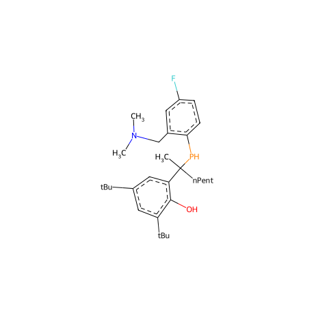 CCCCCC(C)(Pc1ccc(F)cc1CN(C)C)c1cc(C(C)(C)C)cc(C(C)(C)C)c1O